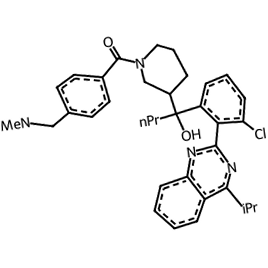 [CH2]CCC(O)(c1cccc(Cl)c1-c1nc(C(C)C)c2ccccc2n1)C1CCCN(C(=O)c2ccc(CNC)cc2)C1